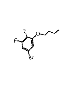 CCCCOc1cc(Br)cc(F)c1F